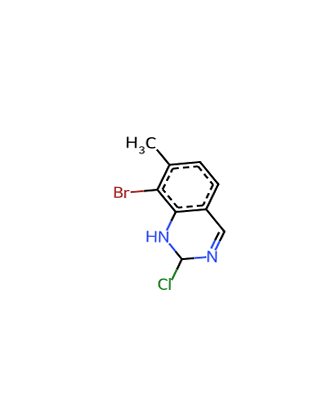 Cc1ccc2c(c1Br)NC(Cl)N=C2